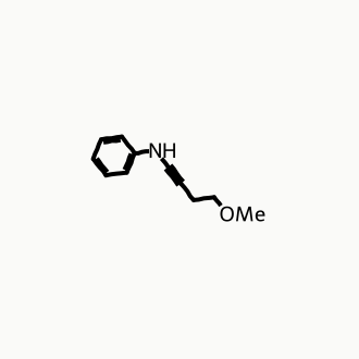 COCCC#CNc1ccccc1